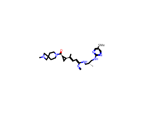 C=N/C(=C\C=C(/C)[C@H]1C[C@@H]1C(=O)N1CCC2(CC1)CN(C)C2)NC[C@@H](C)CNc1ncc(SC)cn1